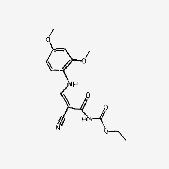 CCOC(=O)NC(=O)C(C#N)=CNc1ccc(OC)cc1OC